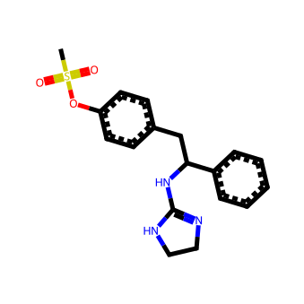 CS(=O)(=O)Oc1ccc(CC(NC2=NCCN2)c2ccccc2)cc1